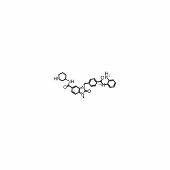 Cn1c(=O)n(Cc2ccc(C(=O)Nc3ccccc3N)cc2)c2cc(C(=O)N[C@@H]3CCCNC3)ccc21